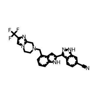 N#Cc1ccc2c(-c3cc4c(CN5CCn6cc(C(F)(F)F)nc6C5)cccc4[nH]3)n[nH]c2c1